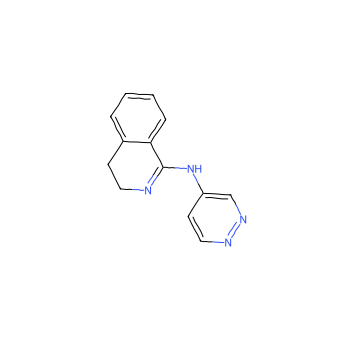 c1ccc2c(c1)CCN=C2Nc1ccnnc1